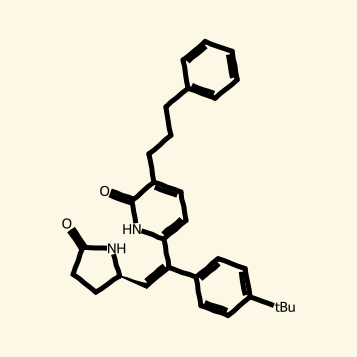 CC(C)(C)c1ccc(/C(=C/[C@H]2CCC(=O)N2)c2ccc(CCCc3ccccc3)c(=O)[nH]2)cc1